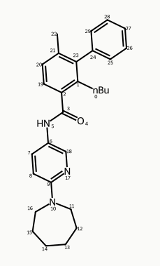 CCCCc1c(C(=O)Nc2ccc(N3CCCCCC3)nc2)ccc(C)c1-c1ccccc1